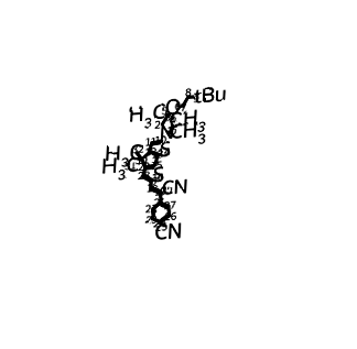 CN(CC(C)(C)OCCC(C)(C)C)c1cc2c(s1)-c1sc(/C=C(\C#N)c3ccc(C#N)cc3)cc1C2(C)C